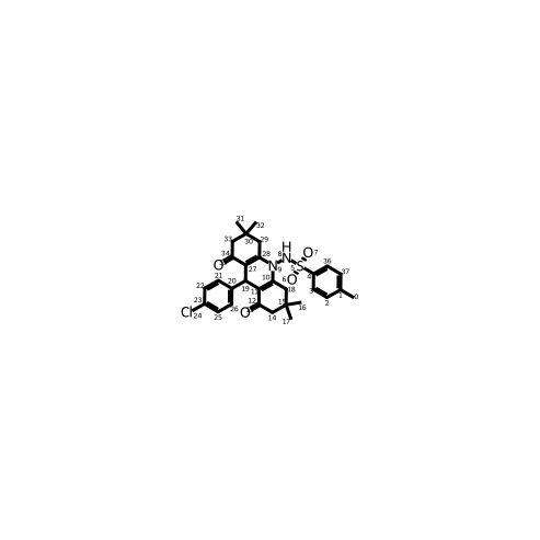 Cc1ccc(S(=O)(=O)NN2C3=C(C(=O)CC(C)(C)C3)C(c3ccc(Cl)cc3)C3=C2CC(C)(C)CC3=O)cc1